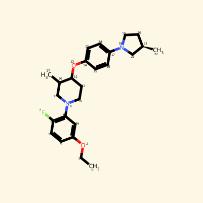 CCOc1ccc(F)c(N2CCC(Oc3ccc(N4CC[C@@H](C)C4)cc3)C(C)C2)c1